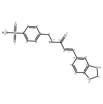 NS(=O)(=O)c1ccc(CNC(=O)/C=C/c2ccc3c(c2)OCO3)cc1